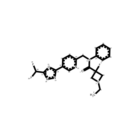 CCN1CC(F)(C(=O)N(Cc2ccc(-c3nnc(C(F)F)o3)cn2)c2ccccc2)C1